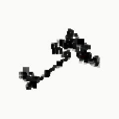 C/C(=C\C(=O)N[C@H]1CCc2cccc3c2N(C1=O)[C@H](C(=O)N[C@@H](CCC(N)=O)[C@@H](C)OCc1ccc(CCCOCCCCCOCCCc2ccc4c(c2)n(C)c(=O)n4C2CCC(=O)NC2=O)cc1)C3)c1ccc(C(F)(F)P(=O)(OCOC(=O)C(C)(C)C)OCOC(=O)C(C)(C)C)cc1